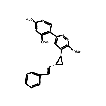 COc1ncc(-c2cc([C@H]3C[C@@H]3/C=C/c3ccccc3)c(OC)nn2)c(OC)n1